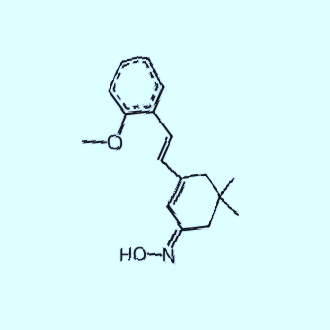 COc1ccccc1C=CC1=CC(=NO)CC(C)(C)C1